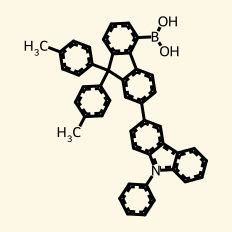 Cc1ccc(C2(c3ccc(C)cc3)c3cc(-c4ccc5c(c4)c4ccccc4n5-c4ccccc4)ccc3-c3c(B(O)O)cccc32)cc1